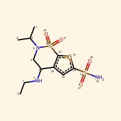 CCNC1CN(C(C)C)S(=O)(=O)c2sc(S(N)(=O)=O)cc21